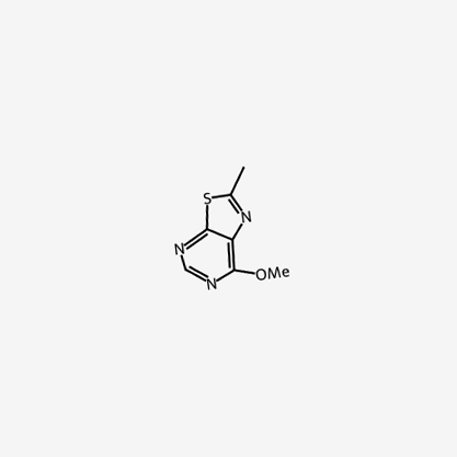 COc1ncnc2sc(C)nc12